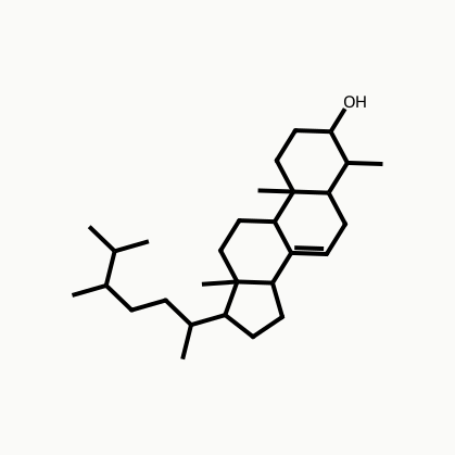 CC(C)C(C)CCC(C)C1CCC2C3=CCC4C(C)C(O)CCC4(C)C3CCC21C